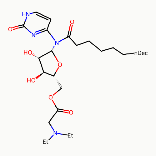 CCCCCCCCCCCCCCCC(=O)N(c1cc[nH]c(=O)n1)[C@@H]1O[C@H](COC(=O)CN(CC)CC)[C@@H](O)[C@@H]1O